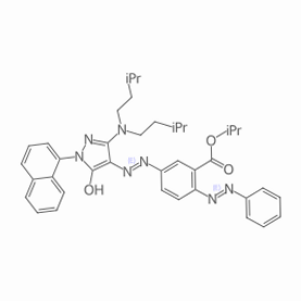 CC(C)CCN(CCC(C)C)c1nn(-c2cccc3ccccc23)c(O)c1/N=N/c1ccc(/N=N/c2ccccc2)c(C(=O)OC(C)C)c1